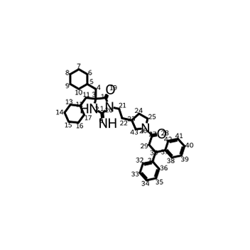 N=C1NC(CC2CCCCC2)(CC2CCCCC2)C(=O)N1CCC1CCN(C(=O)CC(c2ccccc2)c2ccccc2)C1